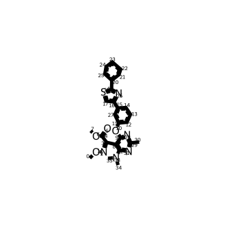 CON=C(C(=O)OC)c1c(Oc2cccc(-c3csc(-c4ccccc4)n3)c2)nc(C)nc1N(C)C